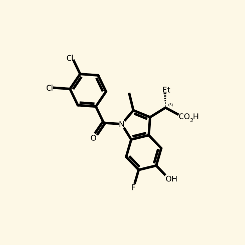 CC[C@H](C(=O)O)c1c(C)n(C(=O)c2ccc(Cl)c(Cl)c2)c2cc(F)c(O)cc12